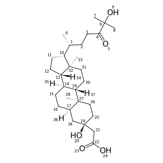 C[C@H](CCC(=O)C(C)(C)O)[C@H]1CC[C@H]2[C@@H]3CC[C@@H]4C[C@@](O)(CC(=O)O)CC[C@]4(C)[C@H]3CC[C@]12C